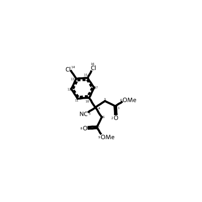 COC(=O)CC(C#N)(CC(=O)OC)c1ccc(Cl)c(Cl)c1